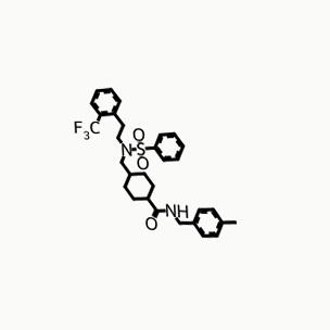 Cc1ccc(CNC(=O)C2CCC(CN(CCc3ccccc3C(F)(F)F)S(=O)(=O)c3ccccc3)CC2)cc1